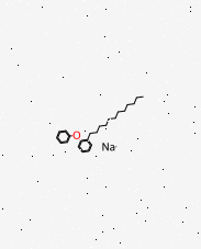 CCCCCCCCCCCCc1ccccc1Oc1ccccc1.[Na]